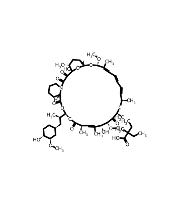 CCC(C)(CC)C(=O)O.CO[C@H]1C[C@@H]2CC[C@@H](C)[C@@](O)(O2)C(=O)C(=O)N2CCCC[C@H]2C(=O)O[C@H]([C@H](C)C[C@@H]2CC[C@@H](O)[C@H](OC)C2)CC(=O)[C@H](C)/C=C(\C)[C@@H](O)[C@@H](OC)C(=O)[C@H](C)C[C@H](C)/C=C/C=C/C=C/1C